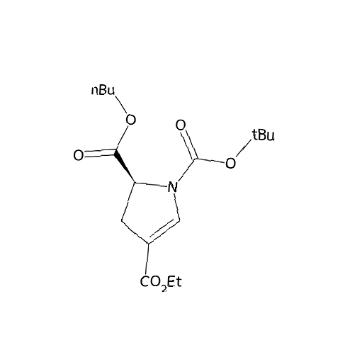 CCCCOC(=O)[C@@H]1CC(C(=O)OCC)=CN1C(=O)OC(C)(C)C